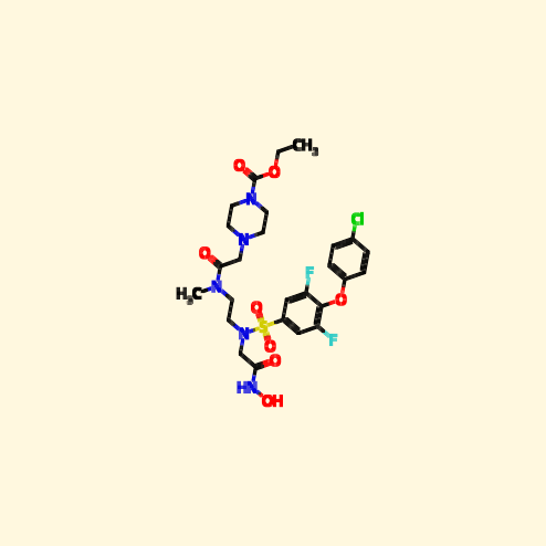 CCOC(=O)N1CCN(CC(=O)N(C)CCN(CC(=O)NO)S(=O)(=O)c2cc(F)c(Oc3ccc(Cl)cc3)c(F)c2)CC1